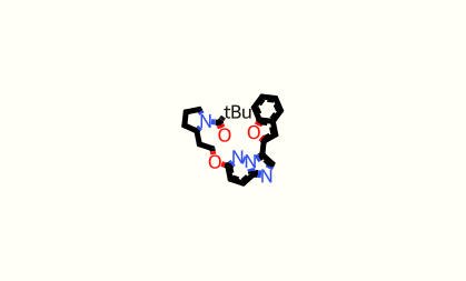 CC(C)(C)C(=O)N1CCCC1CCOc1ccc2ncc(-c3cc4ccccc4o3)n2n1